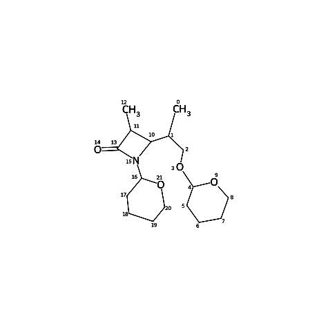 CC(COC1CCCCO1)C1C(C)C(=O)N1C1CCCCO1